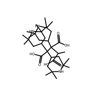 CC(C(=O)O)C(C(=O)O)(C1CC(C)(C)NC(C)(C)C1)C(C(=O)O)(C1CC(C)(C)NC(C)(C)C1)C1CC(C)(C)NC(C)(C)C1